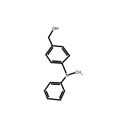 CN(c1ccccc1)c1ccc(CO)cc1